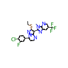 CCSc1nn2c(-c3ccc(Cl)c(F)c3)ccnc2c1-c1nc2cc(C(F)(F)F)cnc2n1C